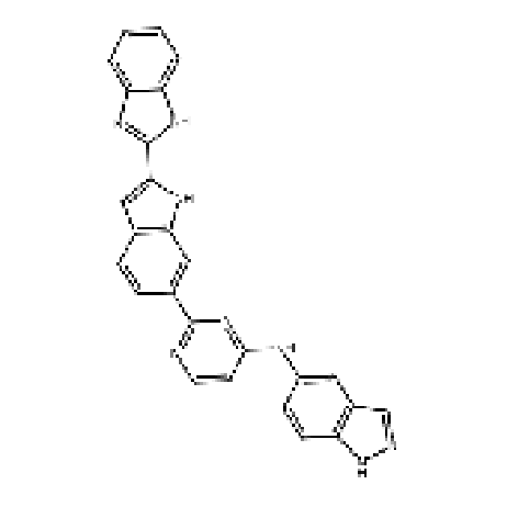 c1ccc2[nH]c(-c3cc4ccc(-c5nccc(Nc6ccc7[nH]ncc7c6)n5)cc4[nH]3)nc2c1